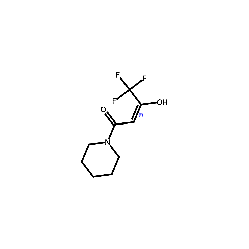 O=C(/C=C(/O)C(F)(F)F)N1CCCCC1